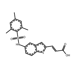 Cc1cc(C)c(S(=O)(=O)Nc2ccc3sc(/C=C/C(=O)O)cc3c2)c(C)c1